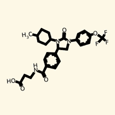 CC1CCC(N2C(=O)N(c3ccc(OC(F)(F)F)cc3)CC2c2ccc(C(=O)NCCC(=O)O)cc2)CC1